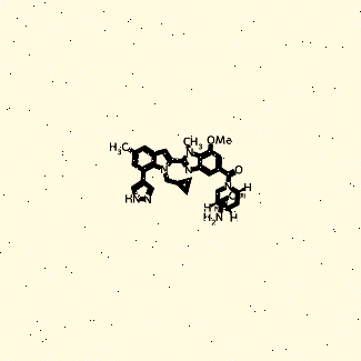 COc1cc(C(=O)N2C[C@H]3CC[C@@H]2C[C@@H]3N)cc2nc(-c3cc4cc(C)cc(-c5cn[nH]c5)c4n3CC3CC3)n(C)c12